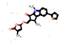 CC1=CC(OC=C2C(=O)c3c(c4cc(-c5cccs5)ccc4n3C)C2C)OC1=O